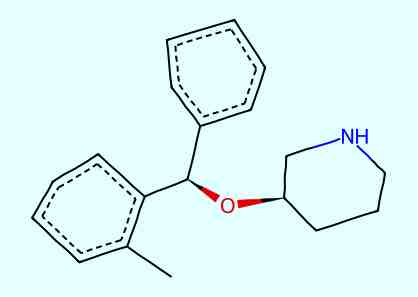 Cc1ccccc1[C@H](O[C@@H]1CCCNC1)c1ccccc1